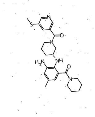 CSc1cncc(C(=O)N2CCC[C@@H](Nc3c(N)cc(C)cc3C(=O)N3CCCCC3)C2)c1